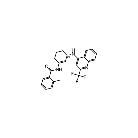 Cc1ccccc1C(=O)NC1=C[C@@H](Nc2cc(C(F)(F)F)nc3ccccc23)CCC1